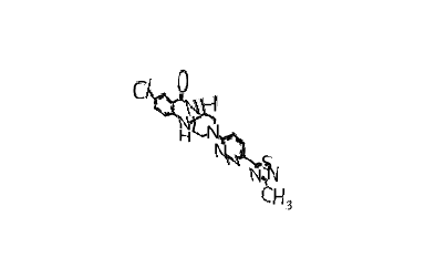 Cc1nsc(-c2ccc(N3CCC4(CC3)NC(=O)c3cc(Cl)ccc3N4)nn2)n1